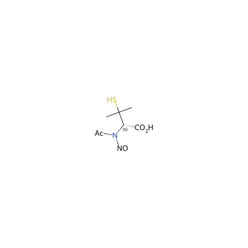 CC(=O)N(N=O)[C@@H](C(=O)O)C(C)(C)S